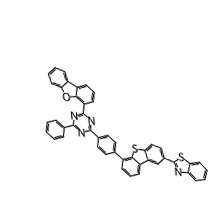 c1ccc(-c2nc(-c3ccc(-c4cccc5c4sc4ccc(-c6nc7ccccc7s6)cc45)cc3)nc(-c3cccc4c3oc3ccccc34)n2)cc1